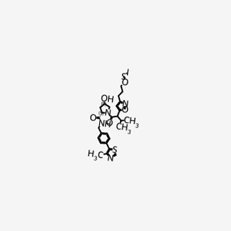 Cc1ncsc1-c1ccc(CNC(=O)[C@@H]2C[C@@H](O)CN2C(=O)C(c2cc(CCCOSI)no2)C(C)C)cc1